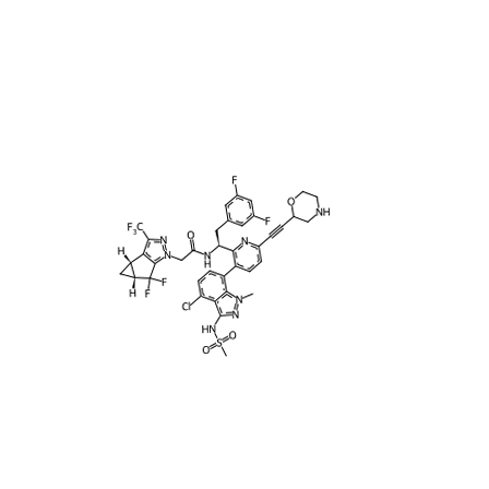 Cn1nc(NS(C)(=O)=O)c2c(Cl)ccc(-c3ccc(C#CC4CNCCO4)nc3[C@H](Cc3cc(F)cc(F)c3)NC(=O)Cn3nc(C(F)(F)F)c4c3C(F)(F)[C@@H]3C[C@H]43)c21